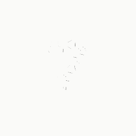 CNCC(=O)N(C)c1ccc(N2CCc3c(C(F)(F)F)nn(-c4cccc(C(N)=O)c4)c3C2=O)cc1.O=C(O)C(F)(F)F